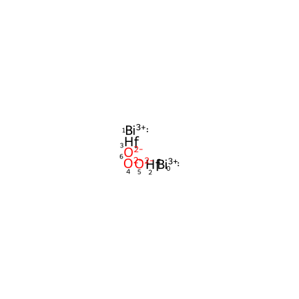 [Bi+3].[Bi+3].[Hf].[Hf].[O-2].[O-2].[O-2]